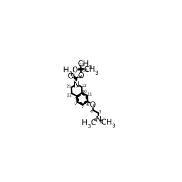 CN(C)CCOc1ccc2c(c1)CN(C(=O)OC(C)(C)C)CC2